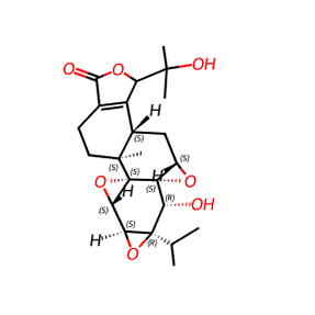 CC(C)[C@]12O[C@H]1[C@@H]1O[C@]13[C@]1(O[C@H]1C[C@H]1C4=C(CC[C@@]13C)C(=O)OC4C(C)(C)O)[C@@H]2O